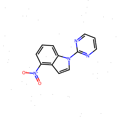 O=[N+]([O-])c1cccc2c1ccn2-c1ncccn1